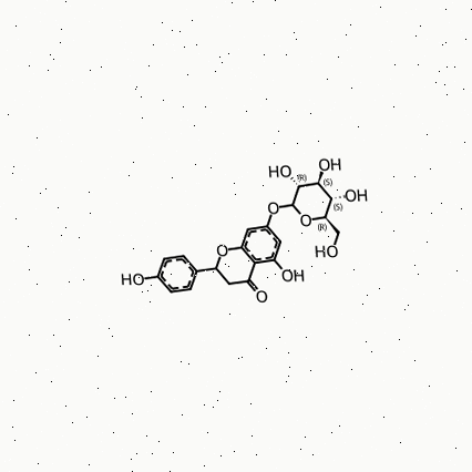 O=C1CC(c2ccc(O)cc2)Oc2cc(OC3O[C@H](CO)[C@@H](O)[C@H](O)[C@H]3O)cc(O)c21